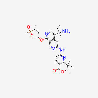 CCC(C)(N)c1cnc(O[C@H](C)C[C@@H](C)S(C)(=O)=O)c2cnc(Nc3ccc4c(n3)C(C)(C)[C@H](C)OC4=O)cc12